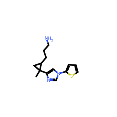 CC1(c2cn(-c3cccs3)cn2)CC1CCCN